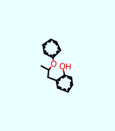 CC(Cc1ccccc1O)Oc1ccccc1